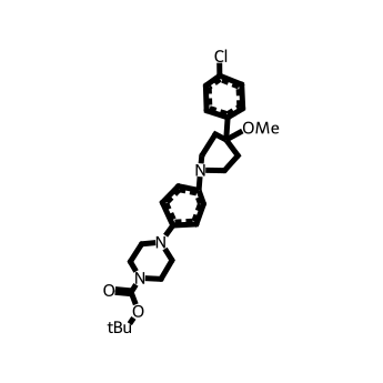 COC1(c2ccc(Cl)cc2)CCN(c2ccc(N3CCN(C(=O)OC(C)(C)C)CC3)cc2)CC1